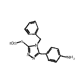 CCCCCCCCSc1nnc(-c2ccc(N)cc2)n1Cc1ccccc1